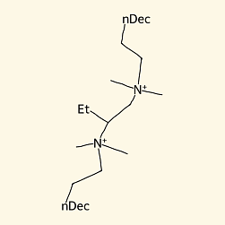 CCCCCCCCCCCC[N+](C)(C)CC(CC)[N+](C)(C)CCCCCCCCCCCC